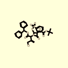 C=C(CCl)C(C(=O)OC(c1ccccc1)c1ccccc1)N1C(=O)C(NC(=O)OC(C)(C)C)C1SS(=O)(=O)c1ccccc1